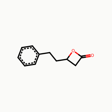 O=C1CC(CCc2ccccc2)O1